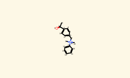 CC(=O)c1ccc(C[N+](C)(C)c2ccccc2)cc1